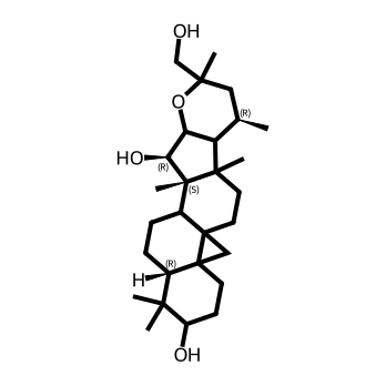 C[C@@H]1CC(C)(CO)OC2C1C1(C)CCC34CC35CCC(O)C(C)(C)[C@@H]5CCC4[C@]1(C)[C@H]2O